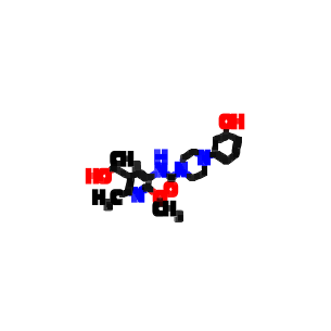 COc1nc(C)c(C(C)O)cc1NC(=O)N1CCN(c2cccc(O)c2)CC1